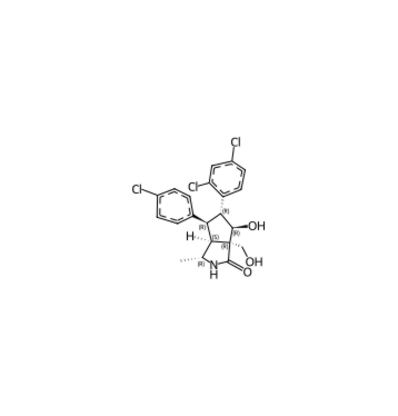 C[C@H]1NC(=O)[C@@]2(CO)[C@@H]1[C@@H](c1ccc(Cl)cc1)[C@H](c1ccc(Cl)cc1Cl)[C@H]2O